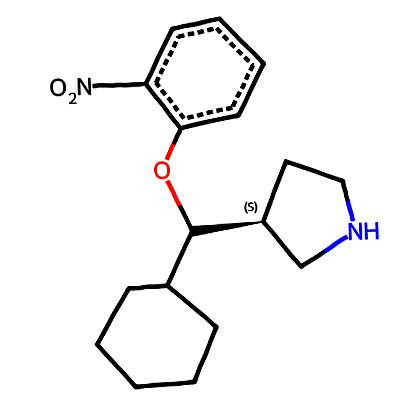 O=[N+]([O-])c1ccccc1OC(C1CCCCC1)[C@H]1CCNC1